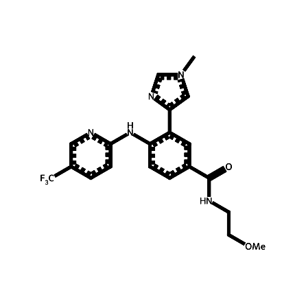 COCCNC(=O)c1ccc(Nc2ccc(C(F)(F)F)cn2)c(-c2cn(C)cn2)c1